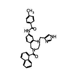 Cc1ccc(C(=O)Nc2ccc3c(c2)N(Cc2c[nH]cn2)CCN(C(=O)c2cccc4ccccc24)C3)cc1